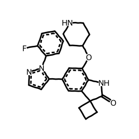 O=C1Nc2c(OC3CCNCC3)cc(-c3ccnn3-c3ccccc3F)cc2C12CCC2